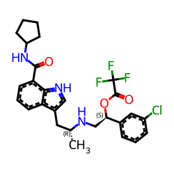 C[C@H](Cc1c[nH]c2c(C(=O)NC3CCCC3)cccc12)NC[C@@H](OC(=O)C(F)(F)F)c1cccc(Cl)c1